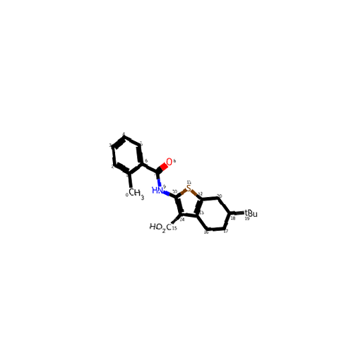 Cc1ccccc1C(=O)Nc1sc2c(c1C(=O)O)CCC(C(C)(C)C)C2